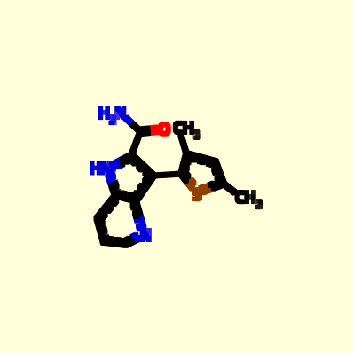 Cc1cc(C)c(-c2c(C(N)=O)[nH]c3cccnc23)s1